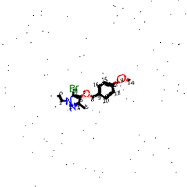 CCn1nc(C)c(OCc2ccc(OC)cc2)c1Br